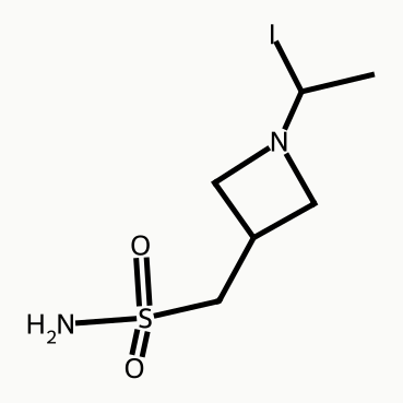 CC(I)N1CC(CS(N)(=O)=O)C1